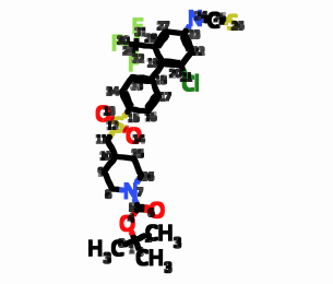 CC(C)(C)OC(=O)N1CCC(CS(=O)(=O)c2ccc(-c3c(Cl)cc(N=C=S)cc3C(F)(F)F)cc2)CC1